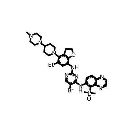 CCc1cc(Nc2ncc(Br)c(Nc3ccc4nccnc4c3P(C)(C)=O)n2)c2c(c1N1CCC(N3CCN(C)CC3)CC1)CCO2